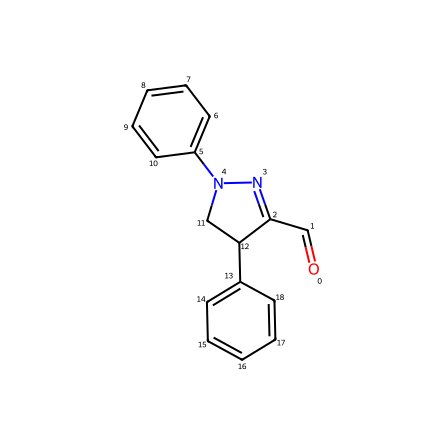 O=CC1=NN(c2ccccc2)CC1c1ccccc1